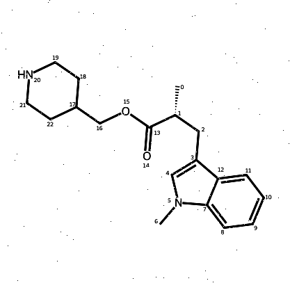 C[C@H](Cc1cn(C)c2ccccc12)C(=O)OCC1CCNCC1